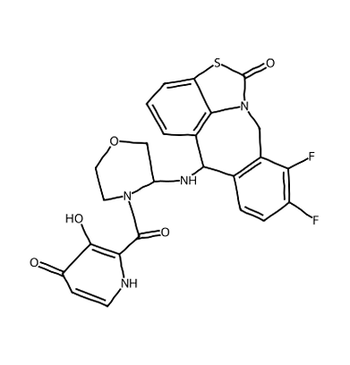 O=C(c1[nH]ccc(=O)c1O)N1CCOCC1NC1c2ccc(F)c(F)c2Cn2c(=O)sc3cccc1c32